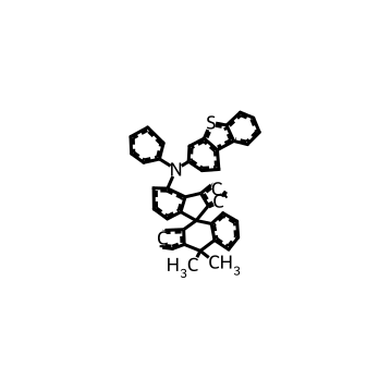 CC1(C)c2ccccc2C2(c3ccccc3-c3c(N(c4ccccc4)c4ccc5c(c4)sc4ccccc45)cccc32)c2ccccc21